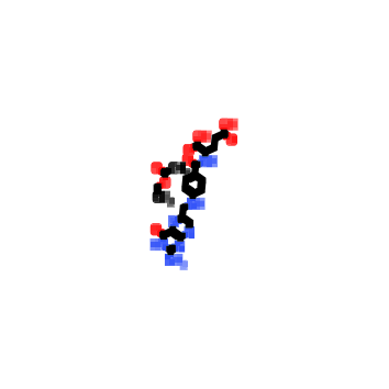 C=COC(C)=O.Nc1nc2ncc(CNc3ccc(C(=O)NC(CCC(=O)O)C(=O)O)cc3)nc2c(=O)[nH]1